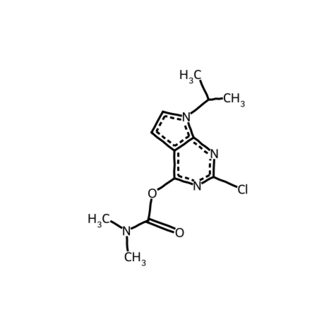 CC(C)n1ccc2c(OC(=O)N(C)C)nc(Cl)nc21